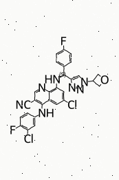 N#Cc1cnc2c(N[C@@H](c3ccc(F)cc3)c3cn(C4COC4)nn3)cc(Cl)cc2c1Nc1ccc(F)c(Cl)c1